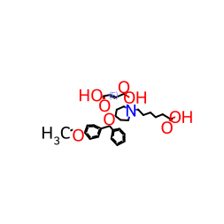 CCOc1ccc(C(OC2CCN(CCCCCC(=O)O)CC2)c2ccccc2)cc1.O=C(O)/C=C/C(=O)O